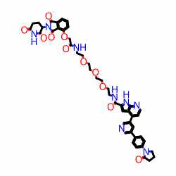 O=C(COc1cccc2c1C(=O)N(C1CCC(=O)NC1=O)C2=O)NCCOCCOCCOCCNC(=O)c1cc2c(-c3cncc(-c4ccc(N5CCCC5=O)cc4)c3)ccnc2[nH]1